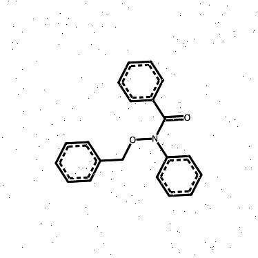 O=C(c1ccccc1)N(OCc1ccccc1)c1ccccc1